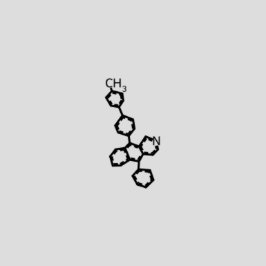 Cc1ccc(-c2ccc(-c3c4ccccc4c(-c4ccccc4)c4ccncc34)cc2)cc1